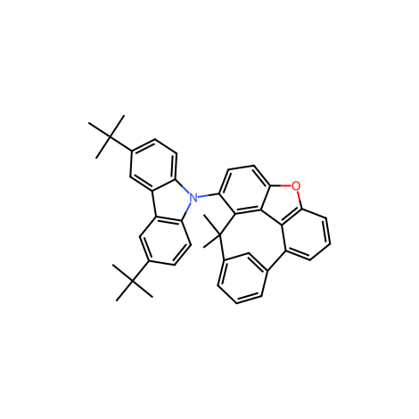 CC(C)(C)c1ccc2c(c1)c1cc(C(C)(C)C)ccc1n2-c1ccc2oc3cccc4c3c2c1C(C)(C)c1cccc-4c1